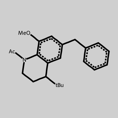 COc1cc(Cc2ccccc2)cc2c1N(C(C)=O)CCC2C(C)(C)C